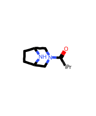 CC(C)C(=O)N1CC2CCC(C1)N2